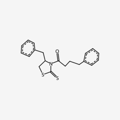 O=C(CCCc1ccccc1)N1C(=S)SCC1Cc1ccccc1